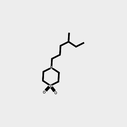 CCC(C)CCCN1CCS(=O)(=O)CC1